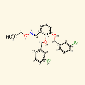 O=C(O)CON=Cc1cccc(OCc2cccc(Br)c2)c1OCc1cccc(Br)c1